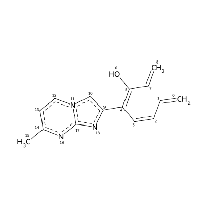 C=C/C=C\C(=C(\O)C=C)c1cn2ccc(C)nc2n1